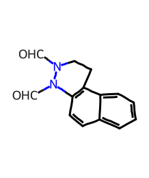 O=CN1CCc2c(ccc3ccccc23)N1C=O